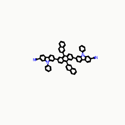 N#Cc1ccc2c3ccc(-c4ccc5c(-c6ccc7ccccc7c6)c6cc(-c7ccc8c9ccc(C#N)cc9n(-c9ccccc9)c8c7)ccc6c(-c6ccc7ccccc7c6)c5c4)cc3n(-c3ccccc3)c2c1